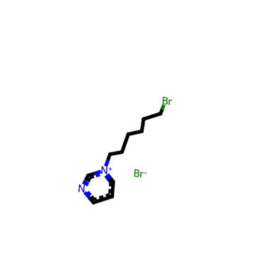 BrCCCCCC[n+]1cccnc1.[Br-]